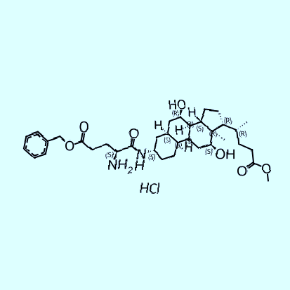 COC(=O)CC[C@@H](C)[C@H]1CC[C@H]2[C@@H]3[C@H](O)C[C@@H]4C[C@@H](NC(=O)[C@@H](N)CCC(=O)OCc5ccccc5)CC[C@]4(C)[C@H]3C[C@H](O)[C@]12C.Cl